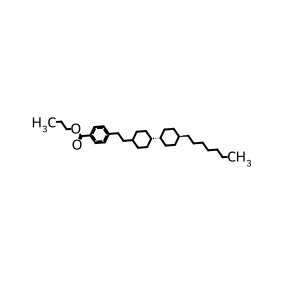 CCCCCCC[C@H]1CC[C@H](C2CCC(CCc3ccc(C(=O)OCCC)cc3)CC2)CC1